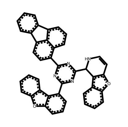 C1=Cc2oc3ccccc3c2C(c2nc(-c3ccc4c5c(cccc35)-c3ccccc3-4)nc(-c3cccc4oc5ccccc5c34)n2)N1